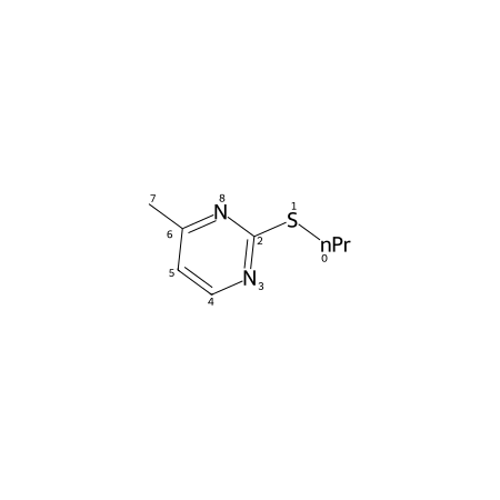 CCCSc1nccc(C)n1